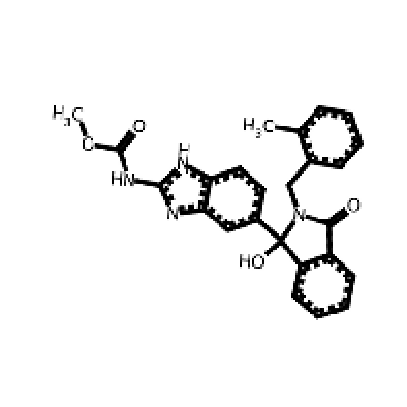 COC(=O)Nc1nc2cc(C3(O)c4ccccc4C(=O)N3Cc3ccccc3C)ccc2[nH]1